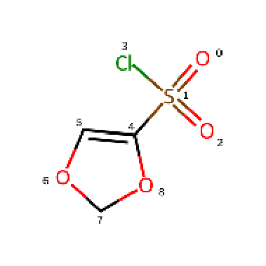 O=S(=O)(Cl)C1=COCO1